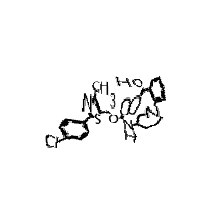 Cc1nc(-c2ccc(Cl)cc2)sc1COC(=O)NC1CCCN(c2ccccc2C(=O)O)C1